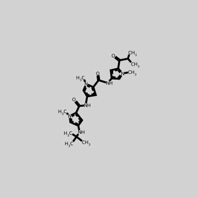 CC(C)C(=O)c1cc(NC(=O)c2cc(NC(=O)c3cc(NC(C)(C)C)cn3C)cn2C)cn1C